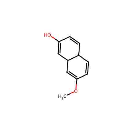 COC1=CC2C=C(O)C=CC2C=C1